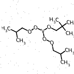 CC(C)CO[O][V]([O]CC(C)(C)C)[O]OCC(C)C